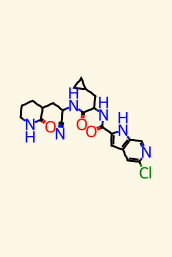 N#CC(CC1CCCNC1=O)NC(=O)C(CC1CC1)NC(=O)c1cc2cc(Cl)ncc2[nH]1